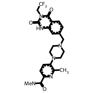 CNC(=O)c1ccc(N2CCN(Cc3ccc4c(=O)n(CC(F)(F)F)c(=O)[nH]c4c3)CC2)c(C)n1